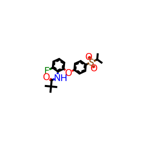 CC(C)S(=O)(=O)c1ccc(Oc2cccc(F)c2NC(=O)C(C)(C)C)cc1